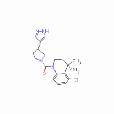 CC1(C)CCN(C(=O)N2CCC(c3cn[nH]c3)C2)c2cccc(Cl)c21